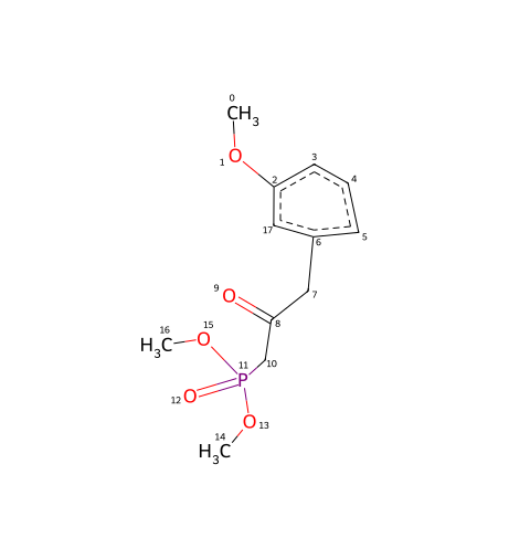 COc1cccc(CC(=O)CP(=O)(OC)OC)c1